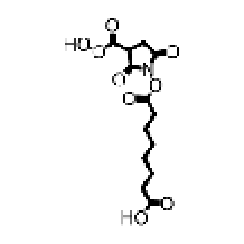 O=C(O)CCCCCCC(=O)ON1C(=O)CC(C(=O)OO)C1=O